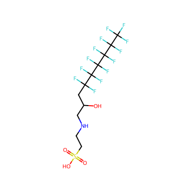 O=S(=O)(O)CCNCC(O)CC(F)(F)C(F)(F)C(F)(F)C(F)(F)C(F)(F)C(F)(F)F